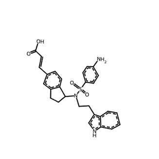 Nc1ccc(S(=O)(=O)N(CCc2c[nH]c3ccccc23)C2CCc3cc(C=CC(=O)O)ccc32)cc1